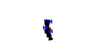 O=C(NCc1ccc2nc[nH]c2c1)[C@@H]1[CH]SCC(c2ccc(C3CC3)cc2)N1